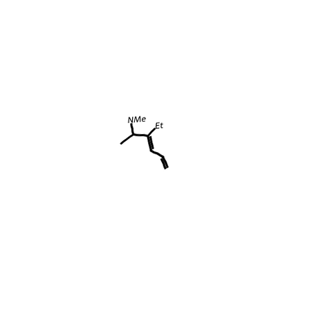 C=C/C=C(\CC)C(C)NC